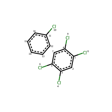 Clc1cc(Cl)c(Cl)cc1Cl.Clc1ccccc1